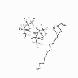 C=CN1C=CN(CCCCCCCCCCCC)C1.O=S(=O)(NS(=O)(=O)C(F)(F)F)C(F)(F)F.O=S(=O)(NS(=O)(=O)C(F)(F)F)C(F)(F)F